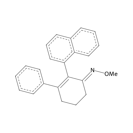 CON=C1CCCC(c2ccccc2)=C1c1cccc2ccccc12